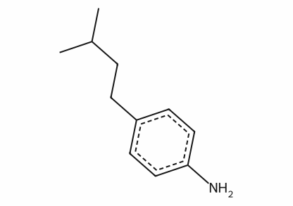 CC(C)CCc1ccc(N)cc1